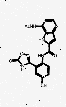 CC(=O)Nc1cccc2cc(C(=O)Nc3ccc(C#N)cc3-c3noc(=O)[nH]3)[nH]c12